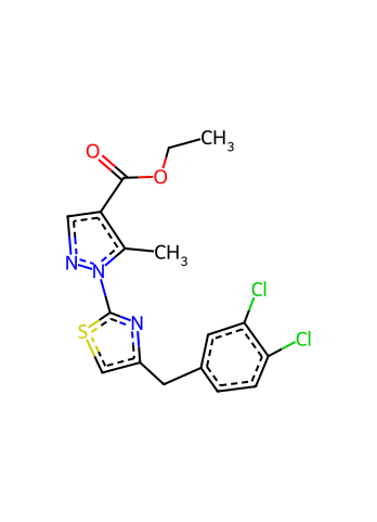 CCOC(=O)c1cnn(-c2nc(Cc3ccc(Cl)c(Cl)c3)cs2)c1C